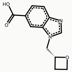 O=C(O)c1ccc2ncn(C[C@H]3CCO3)c2c1